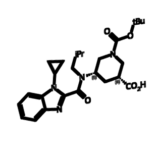 CC(C)CN(C(=O)c1nc2ccccc2n1C1CC1)[C@H]1C[C@@H](C(=O)O)CN(C(=O)OC(C)(C)C)C1